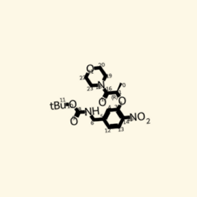 C[C@@H](Oc1cc(CNC(=O)OC(C)(C)C)ccc1[N+](=O)[O-])C(=O)N1CCOCC1